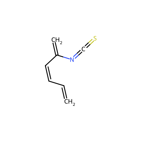 C=C/C=C\C(=C)N=C=S